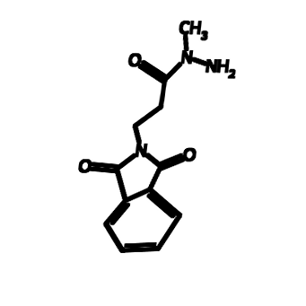 CN(N)C(=O)CCN1C(=O)c2ccccc2C1=O